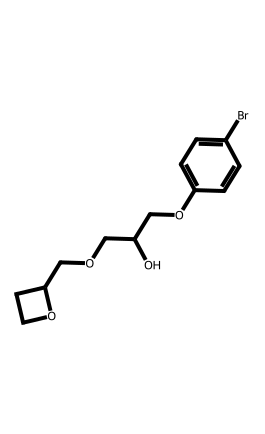 OC(COCC1CCO1)COc1ccc(Br)cc1